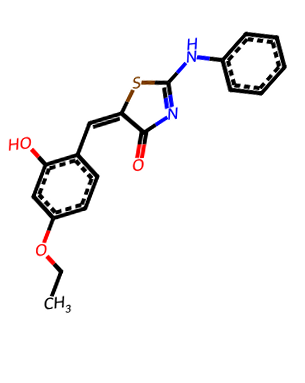 CCOc1ccc(C=C2SC(Nc3ccccc3)=NC2=O)c(O)c1